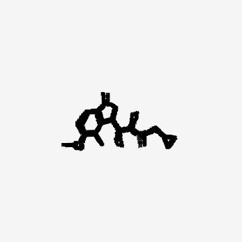 COc1ccc2[nH]cc(C(=O)C(=O)NCC3CC3)c2c1C